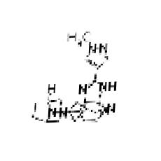 Cn1cc(-c2nc3c(N4CC5CC[C@@H](C4)N5C4CC(C#N)C4)ccnc3[nH]2)cn1